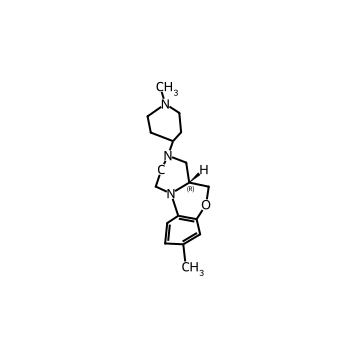 Cc1ccc2c(c1)OC[C@H]1CN(C3CCN(C)CC3)CCN21